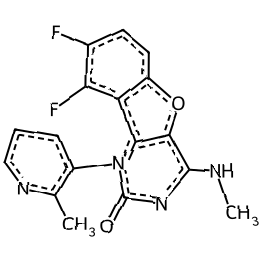 CNc1nc(=O)n(-c2cccnc2C)c2c1oc1ccc(F)c(F)c12